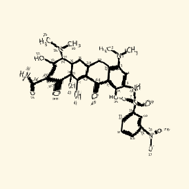 CN(C)c1cc(NS(=O)(=O)c2cccc([N+](=O)[O-])c2)c(O)c2c1CC1CC3[C@H](N(C)C)C(O)=C(C(N)=O)C(=O)[C@@]3(O)C(O)=C1C2=O